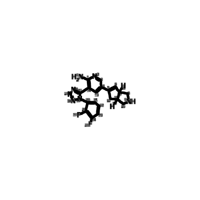 Nc1ncc(C2=C[C@@H]3CNC[C@@H]3C2)cc1-c1nnnn1-c1cccc(F)c1F